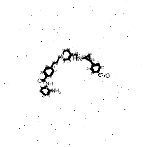 Nc1ccccc1NC(=O)c1ccc(CCCN2CCC(CNC3CC3c3ccc(C=O)cc3)CC2)cc1